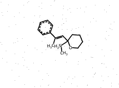 C[SiH2]C1(C=C(C)c2ccccc2)CCCCO1